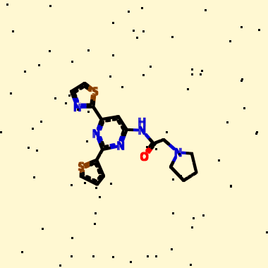 O=C(CN1CCCC1)Nc1cc(-c2nccs2)nc(-c2cccs2)n1